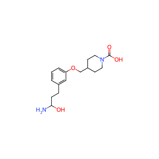 NC(O)CCc1cccc(OCC2CCN(C(=O)O)CC2)c1